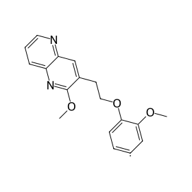 COc1c[c]ccc1OCCc1cc2ncccc2nc1OC